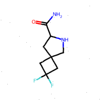 NC(=O)C1CC2(CN1)CC(F)(F)C2